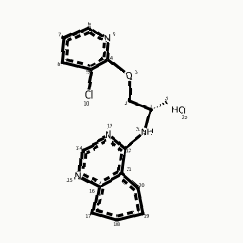 C[C@@H](COc1ncccc1Cl)Nc1ncnc2ccccc12.Cl